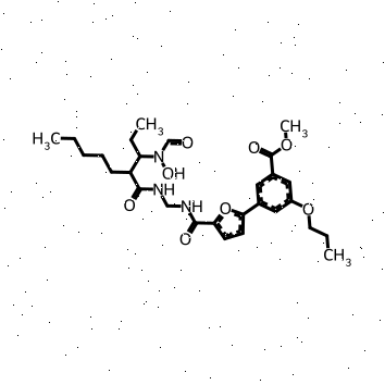 CCCCCC(C(=O)NCNC(=O)c1ccc(-c2cc(OCCC)cc(C(=O)OC)c2)o1)C(CC)N(O)C=O